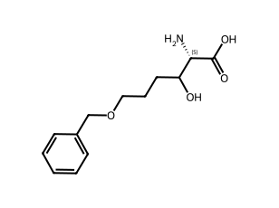 N[C@H](C(=O)O)C(O)CCCOCc1ccccc1